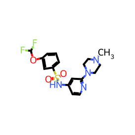 CN1CCN(c2cc(NS(=O)(=O)c3cccc(OC(F)F)c3)ccn2)CC1